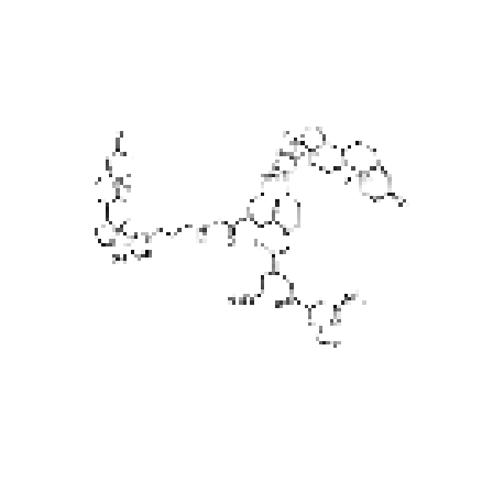 COCCC(CC(N)=O)C(=O)CN(CCOC)C(=O)CN(CCCn1cc([C@]2(O)CCC3C4CCC5=CC(=O)CC[C@]5(C)C4CC[C@@]32C)nn1)C(=O)CN(CCOC)C(=O)CNCCCn1cc([C@]2(O)CCC3C4CCC5=CC(=O)CC[C@]5(C)C4CC[C@@]32C)nn1